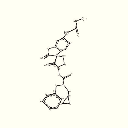 CNC(=O)Nc1ccc2c(c1)CC(=O)[C@]21OCN(CC(=O)N(Cc2ccccc2)CC2CC2)C1=O